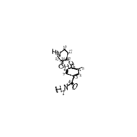 Cc1cc(C(N)=O)ccc1O[C@H]1CCNC[C@@H]1O